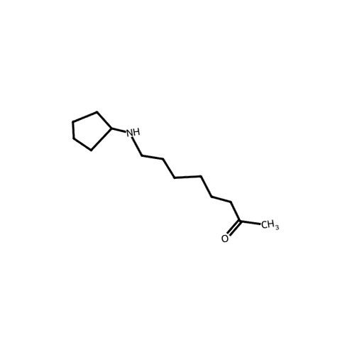 CC(=O)CCCCCCNC1CCCC1